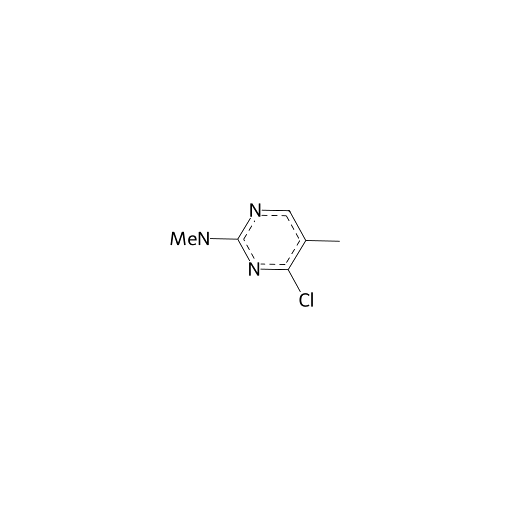 CNc1ncc(C)c(Cl)n1